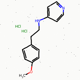 COc1ccc(CCNc2ccncc2)cc1.Cl.Cl